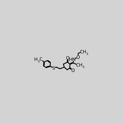 CCONC(C)=C1C(=O)CC(CCSc2ccc(C)cc2)CC1=O